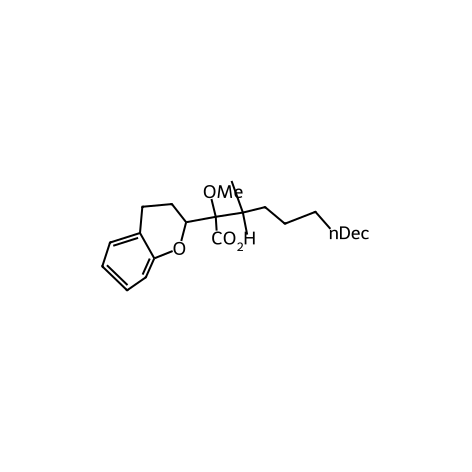 CCCCCCCCCCCCCC(C)(C)C(OC)(C(=O)O)C1CCc2ccccc2O1